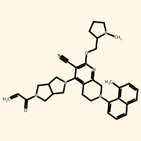 C=CC(=O)N1CC2CN(c3c(C#N)c(OCC4CCCN4C)nc4c3CCN(c3cccc5cccc(C)c35)C4)CC2C1